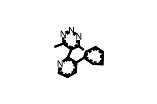 Cc1nnnc(C)c1-c1ncccc1-c1ccccc1